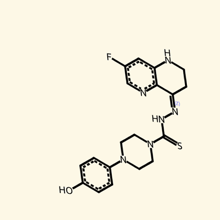 Oc1ccc(N2CCN(C(=S)N/N=C3/CCNc4cc(F)cnc43)CC2)cc1